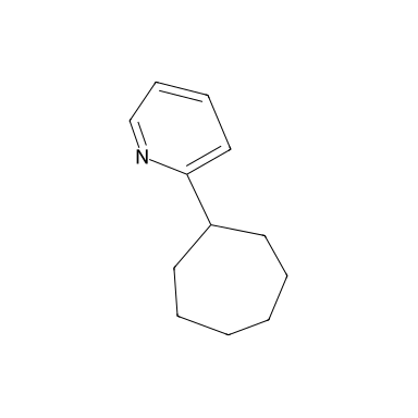 c1ccc(C2CCCCCC2)nc1